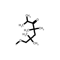 CC(C)C(=O)C(C)(C)CC(C)(C)COI